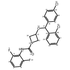 O=C(Nc1c(F)cccc1F)N1CC(OC(c2ccc(Cl)cc2)c2ccccc2Cl)C1